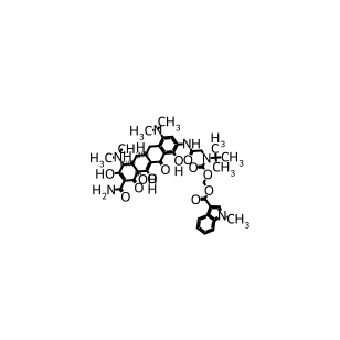 CN(C)c1cc(NC(=O)CN(C(=O)OCOC(=O)c2cn(C)c3ccccc23)C(C)(C)C)c(O)c2c1C[C@H]1C[C@H]3[C@H](N(C)C)C(O)=C(C(N)=O)C(=O)[C@@]3(O)C(O)=C1C2=O